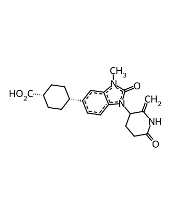 C=C1NC(=O)CCC1n1c(=O)n(C)c2cc([C@H]3CC[C@@H](C(=O)O)CC3)ccc21